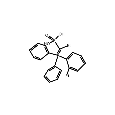 CCC(P(=O)(O)O)=P(c1ccccc1)(c1ccccc1)c1ccccc1CC